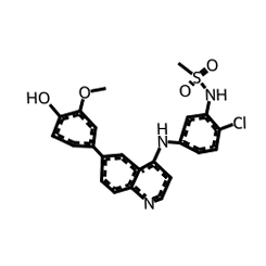 COc1cc(-c2ccc3nccc(Nc4ccc(Cl)c(NS(C)(=O)=O)c4)c3c2)ccc1O